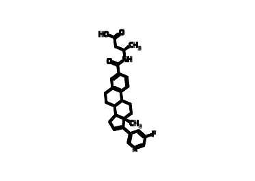 C[C@H](CC(=O)O)NC(=O)c1ccc2c(c1)CCC1C2CC[C@]2(C)C(c3cncc(F)c3)=CCC12